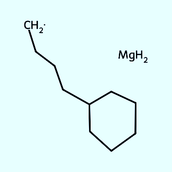 [CH2]CCCC1CCCCC1.[MgH2]